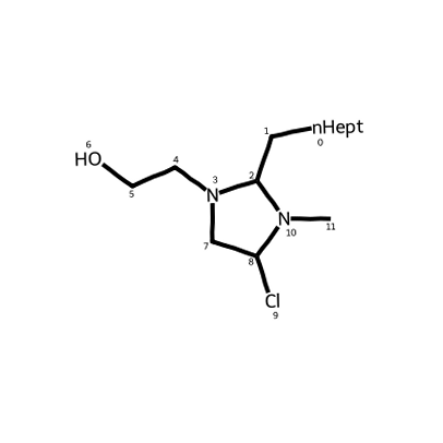 CCCCCCCCC1N(CCO)CC(Cl)N1C